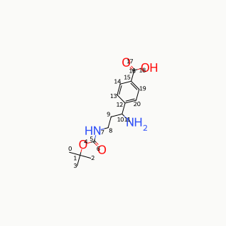 CC(C)(C)OC(=O)NCCC(N)c1ccc(C(=O)O)cc1